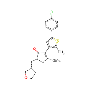 COC1=C(c2cc(-c3ccc(Cl)cc3)sc2C)C(=O)C(CC2CCOC2)C1